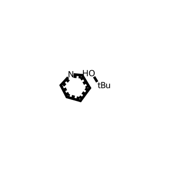 CC(C)(C)O.c1ccncc1